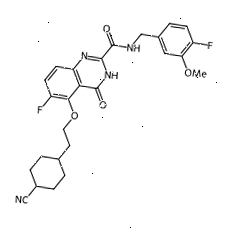 COc1cc(CNC(=O)c2nc3ccc(F)c(OCCC4CCC(C#N)CC4)c3c(=O)[nH]2)ccc1F